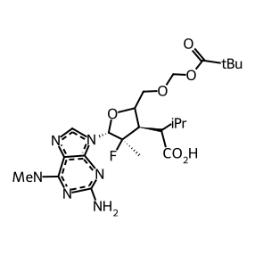 CNc1nc(N)nc2c1ncn2[C@@H]1OC(COCOC(=O)C(C)(C)C)[C@@H](C(C(=O)O)C(C)C)[C@@]1(C)F